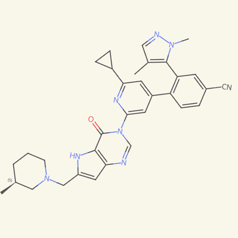 Cc1cnn(C)c1-c1cc(C#N)ccc1-c1cc(C2CC2)nc(-n2cnc3cc(CN4CCC[C@H](C)C4)[nH]c3c2=O)c1